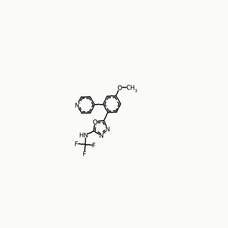 COc1ccc(-c2nnc(NC(F)(F)F)o2)c(-c2ccncc2)c1